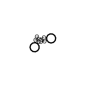 O=S(=O)(CS(=O)(=O)OC1CCCCCCCCCC1)OC1CCCCCCCCCC1